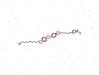 CCCCCCCCOc1ccc(COc2ccc(OCCCCCCCCCC3CC3)cc2)cc1